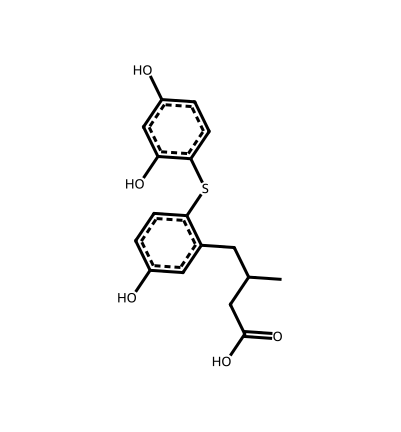 CC(CC(=O)O)Cc1cc(O)ccc1Sc1ccc(O)cc1O